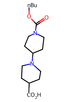 CCCCOC(=O)N1CCC(N2CCC(C(=O)O)CC2)CC1